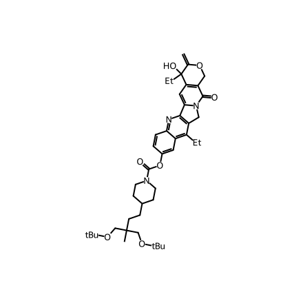 C=C1OCc2c(cc3n(c2=O)Cc2c-3nc3ccc(OC(=O)N4CCC(CCC(C)(COC(C)(C)C)COC(C)(C)C)CC4)cc3c2CC)C1(O)CC